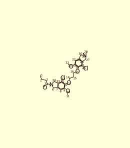 CCCC(=O)N1Cc2cc(OC)c(OCCCOc3c(OC)cc4c(c3Cl)CN(C)C4)c(Cl)c2C1